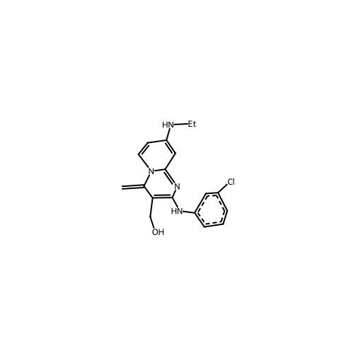 C=C1C(CO)=C(Nc2cccc(Cl)c2)N=C2C=C(NCC)C=CN12